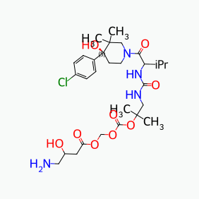 CC(C)C(NC(=O)NCC(C)(C)OC(=O)OCOC(=O)CC(O)CN)C(=O)N1CC[C@](O)(c2ccc(Cl)cc2)C(C)(C)C1